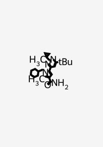 Cc1c(C(N)=O)cc(-c2cc(C(C)(C)C)nc(C3(C)CC3)n2)n1CC1CCCCC1